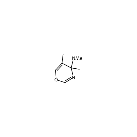 CNC1(C)N=COC=C1C